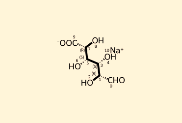 O=C[C@H](O)[C@@H](O)[C@H](O)[C@@H](O)C(=O)[O-].[Na+]